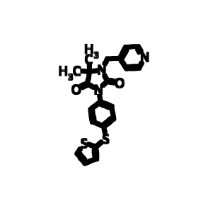 CC1(C)C(=O)N(c2ccc(Sc3cccs3)cc2)C(=O)N1Cc1ccncc1